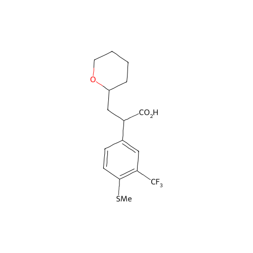 CSc1ccc(C(CC2CCCCO2)C(=O)O)cc1C(F)(F)F